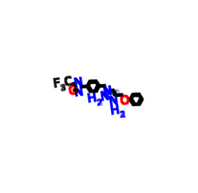 N/C(=C\N(N)Cc1ccc(-c2noc(C(F)(F)F)n2)cc1)COc1ccccc1